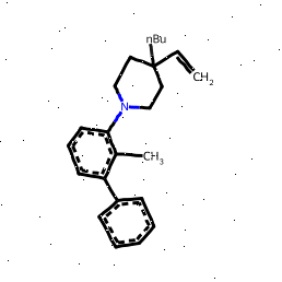 C=CC1(CCCC)CCN(c2cccc(-c3ccccc3)c2C)CC1